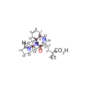 CCC(CCc1nc2ccccc2n(C2CC3CC[C@H](C2)N3C2CC3CCCCC(C3)C2)c1=O)C(=O)O